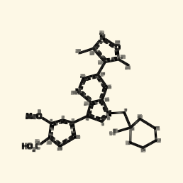 COc1cc(-c2cn(CC3(F)CCCCC3)c3cc(-c4c(C)noc4C)cnc23)ccc1C(=O)O